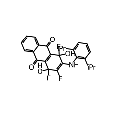 CC(C)c1cccc(C(C)C)c1NC1=C(F)C(O)(F)C2=C(C(=O)c3ccccc3C2=O)C1(O)F